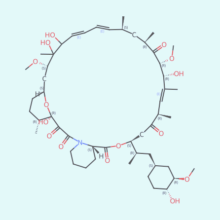 CO[C@H]1C[C@@H]2CC[C@@H](C)[C@@](O)(O2)C(=O)C(=O)N2CCCC[C@H]2C(=O)O[C@H]([C@H](C)C[C@@H]2CC[C@@H](O)[C@H](OC)C2)CC(=O)[C@H](C)/C=C(\C)[C@@H](O)[C@@H](OC)C(=O)[C@H](C)C[C@H](C)/C=C/C=C/C(O)C1(C)O